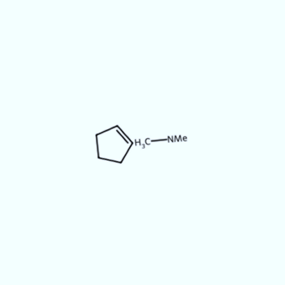 C1=CCCC1.CNC